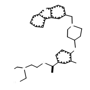 CCN(CC)CCNC(=O)c1ccc(OC2CCN(Cc3ccc4oc5ccccc5c4c3)CC2)c(Cl)c1